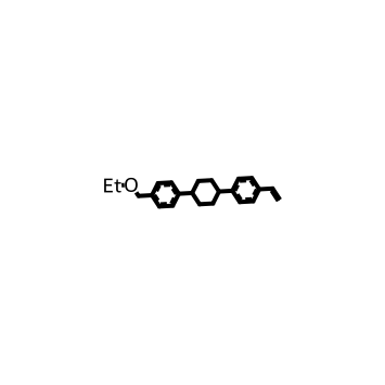 C=Cc1ccc(C2CCC(c3ccc(COCC)cc3)CC2)cc1